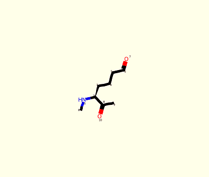 CN[C@@H](CCCC=O)C(C)=O